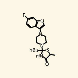 CCCCC1(N2CCN(c3coc4cc(F)ccc34)CC2)NC(=O)C(C)S1